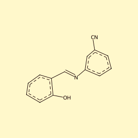 N#Cc1cccc(N=Cc2ccccc2O)c1